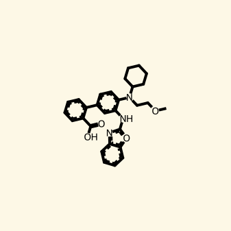 COCCN(c1ccc(-c2ccccc2C(=O)O)cc1Nc1nc2ccccc2o1)C1CCCCC1